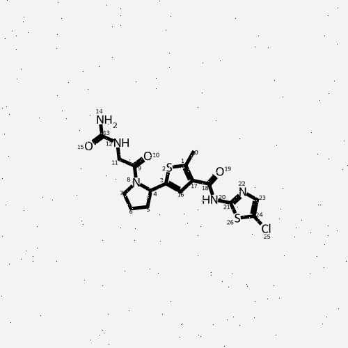 Cc1sc(C2CCCN2C(=O)CNC(N)=O)cc1C(=O)Nc1ncc(Cl)s1